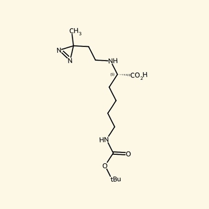 CC1(CCN[C@@H](CCCCNC(=O)OC(C)(C)C)C(=O)O)N=N1